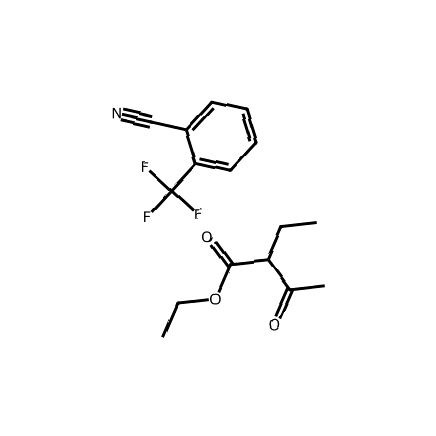 CCOC(=O)C(CC)C(C)=O.N#Cc1ccccc1C(F)(F)F